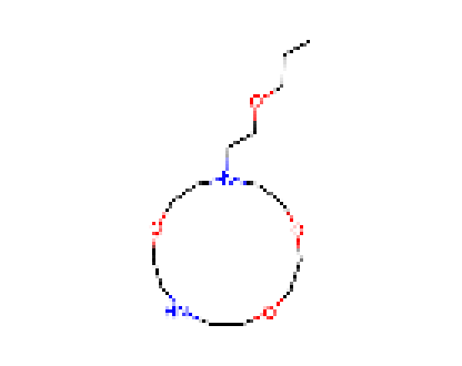 CCCOCCN1CCOCCNCCOCCOCC1